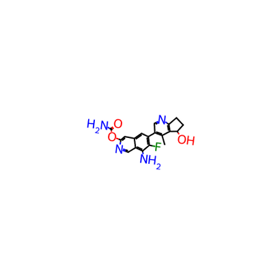 Cc1c(-c2cc3cc(OC(N)=O)ncc3c(N)c2F)cnc2c1C(O)CC2